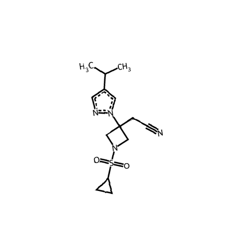 CC(C)c1cnn(C2(CC#N)CN(S(=O)(=O)C3CC3)C2)c1